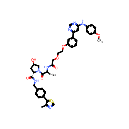 Cc1ncsc1-c1ccc(CNC(=O)[C@@H]2C[C@@H](O)CN2C(=O)C(NC(=O)COCCOc2cccc(-c3cc(Nc4ccc(OC(F)(F)F)cc4)ncn3)c2)C(C)(C)C)cc1